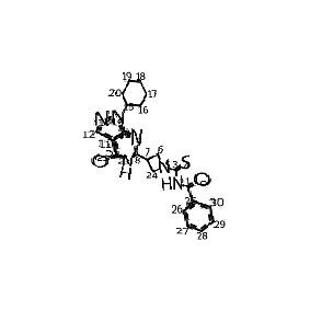 O=C(NC(=S)N1CC(c2nc3c(cnn3C3CCCCC3)c(=O)[nH]2)C1)c1ccccc1